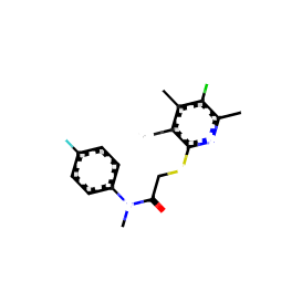 Cc1nc(SCC(=O)N(C)c2ccc(F)cc2)c(C#N)c(C)c1Cl